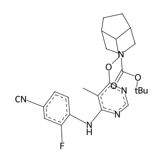 [C-]#[N+]c1ccc(Nc2ncnc(OCC3C4CCC3CN(C(=O)OC(C)(C)C)C4)c2C)c(F)c1